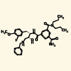 CCCN(CCC)C(=O)c1cc(C(N)=O)cc(C(=O)N[C@@H](Cc2ccc(OC)c(F)c2)[C@H](O)CNCc2ccccc2)c1